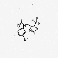 Cc1nc(Cn2c(C)nc3ccc(Br)cc32)c(C(F)(F)F)s1